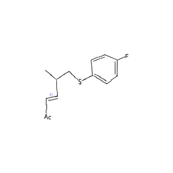 CC(=O)/C=C/C(C)CSc1ccc(F)cc1